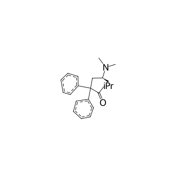 CC(C)C(=O)C(C[C@H](C)N(C)C)(c1ccccc1)c1ccccc1